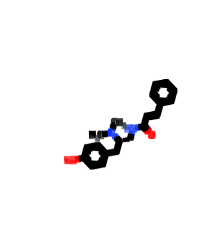 CN(C)[C@H](CNC(=O)/C=C/c1ccccc1)Cc1ccc(O)cc1